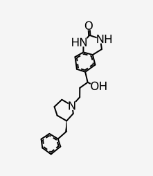 O=C1NCc2cc(C(O)CCN3CCC[C@H](Cc4ccccc4)C3)ccc2N1